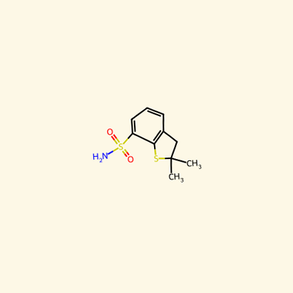 CC1(C)Cc2cccc(S(N)(=O)=O)c2S1